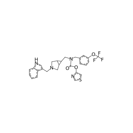 O=C(Oc1cscn1)N(Cc1cccc(OC(F)(F)F)c1)CC1C2CN(Cc3c[nH]c4ccccc34)CC21